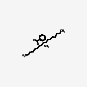 CCCCCCCCCCCCCCCCC.N.O=C(Cl)c1ccccc1